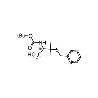 CC(C)(C)OC(=O)N[C@H](C(=O)O)C(C)(C)SCc1ccccn1